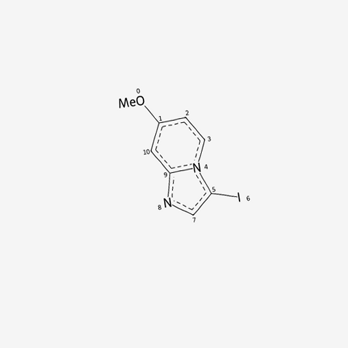 COc1ccn2c(I)cnc2c1